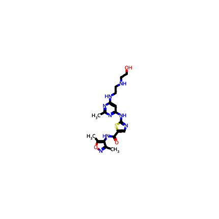 Cc1nc(NCCNCCO)cc(Nc2ncc(C(=O)Nc3c(C)noc3C)s2)n1